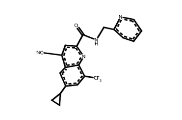 N#Cc1cc(C(=O)NCc2ccccn2)nc2c(C(F)(F)F)cc(C3CC3)cc12